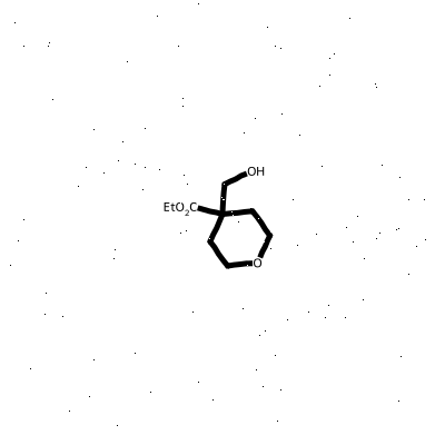 CCOC(=O)C1(CO)CCOCC1